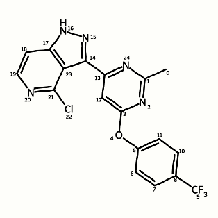 Cc1nc(Oc2ccc(C(F)(F)F)cc2)cc(-c2n[nH]c3ccnc(Cl)c23)n1